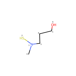 CN(S)CCCO